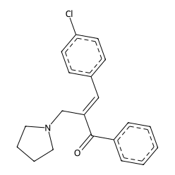 O=C(/C(=C/c1ccc(Cl)cc1)CN1CCCC1)c1ccccc1